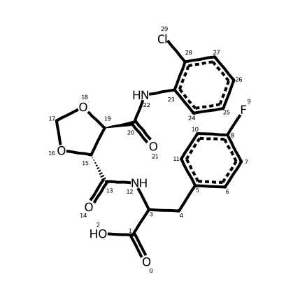 O=C(O)C(Cc1ccc(F)cc1)NC(=O)[C@@H]1OCO[C@H]1C(=O)Nc1ccccc1Cl